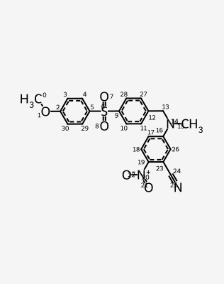 COc1ccc(S(=O)(=O)c2ccc(CN(C)c3ccc([N+](=O)[O-])c(C#N)c3)cc2)cc1